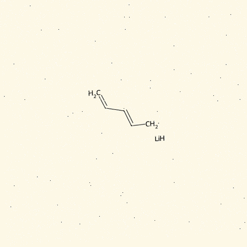 [CH2]C=CC=C.[LiH]